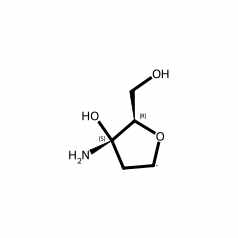 N[C@]1(O)C[CH]O[C@@H]1CO